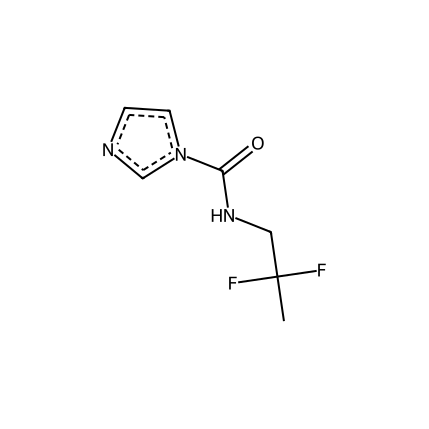 CC(F)(F)CNC(=O)n1ccnc1